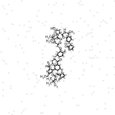 CCn1cc(-c2cc(Cn3ccn(C)c3=NC(=O)OC(C)(C)C)cc3c2OC[C@H](Cc2ccc(F)c(OCC(=O)N[C@H](C(=O)N4C[C@H](O)C[C@H]4C(=O)N[C@@H](C)c4ccc(-c5scnc5C)cc4)C(C)(C)C)c2)C3=O)c(C(F)(F)F)n1